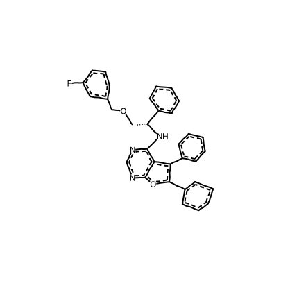 Fc1cccc(COC[C@@H](Nc2ncnc3oc(-c4ccccc4)c(-c4ccccc4)c23)c2ccccc2)c1